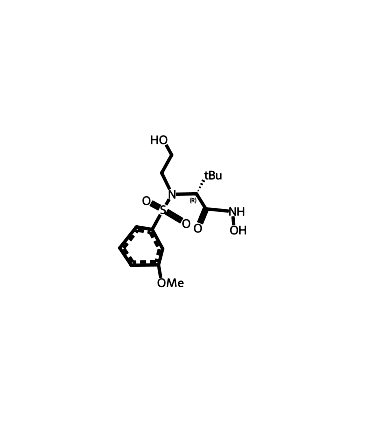 COc1cccc(S(=O)(=O)N(CCO)[C@@H](C(=O)NO)C(C)(C)C)c1